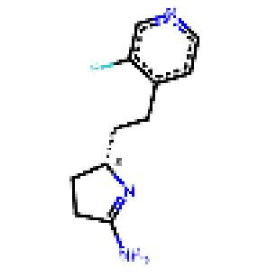 NC1=N[C@@H](CCc2ccncc2F)CC1